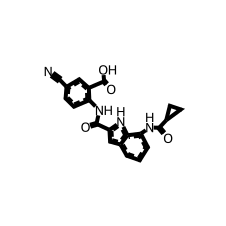 N#Cc1ccc(NC(=O)c2cc3cccc(NC(=O)C4CC4)c3[nH]2)c(C(=O)O)c1